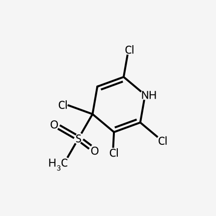 CS(=O)(=O)C1(Cl)C=C(Cl)NC(Cl)=C1Cl